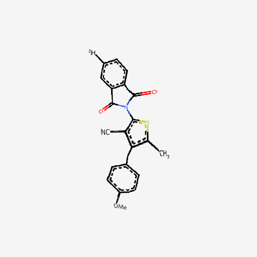 [2H]c1ccc2c(c1)C(=O)N(c1sc(C)c(-c3ccc(OC)cc3)c1C#N)C2=O